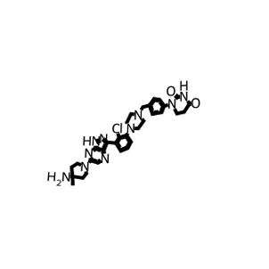 CC1(N)CCN(c2cnc3c(-c4cccc(N5CCN(Cc6ccc(N7CCC(=O)NC7=O)cc6)CC5)c4Cl)n[nH]c3n2)CC1